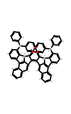 c1ccc(N(c2ccccc2)c2cccc3c4c5ccccc5cc5c6c7c8cc9ccccc9c9c%10cccc(N(c%11ccccc%11)c%11ccccc%11)c%10n(c7ccc6n(c23)c54)c89)cc1